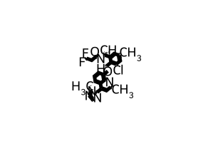 Cc1cc(Cl)c(COc2cccc3c(-c4ncnn4C)cc(C)nc23)c([C@H](C)NC(=O)CC(F)F)c1